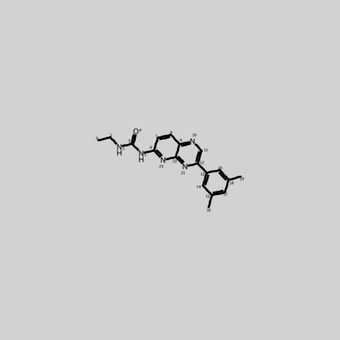 CCNC(=O)Nc1ccc2ncc(-c3cc(C)cc(C)c3)nc2n1